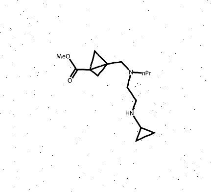 CCCN(CCNC1CC1)CC12CC1(C(=O)OC)C2